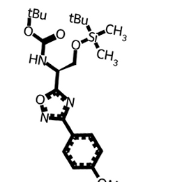 COc1ccc(-c2noc([C@H](CO[Si](C)(C)C(C)(C)C)NC(=O)OC(C)(C)C)n2)cc1